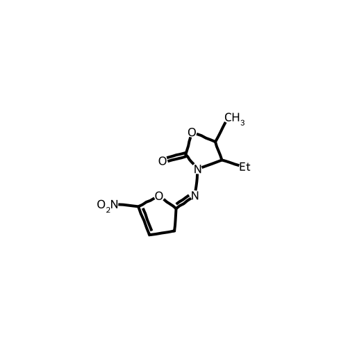 CCC1C(C)OC(=O)N1N=C1CC=C([N+](=O)[O-])O1